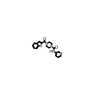 O=C(Nc1cccnc1)N1CCN(C(=O)c2cc3ccccc3s2)CC1